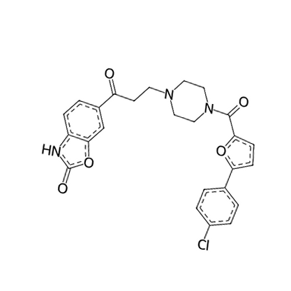 O=C(CCN1CCN(C(=O)c2ccc(-c3ccc(Cl)cc3)o2)CC1)c1ccc2[nH]c(=O)oc2c1